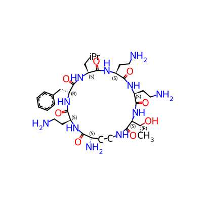 CC(C)C[C@@H]1NC(=O)[C@@H](Cc2ccccc2)NC(=O)[C@H](CCN)NC(=O)[C@@H](N)CCNC(=O)[C@H]([C@@H](C)O)NC(=O)[C@H](CCN)NC(=O)[C@H](CCN)NC1=O